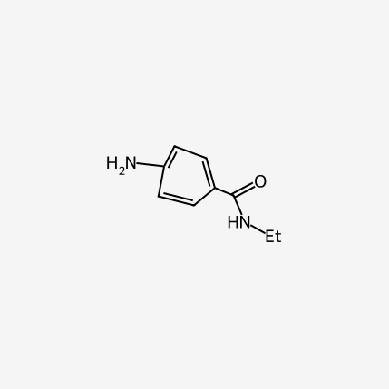 [CH2]CNC(=O)c1ccc(N)cc1